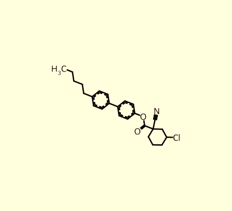 CCCCCc1ccc(-c2ccc(OC(=O)C3(C#N)CCCC(Cl)C3)cc2)cc1